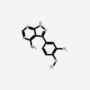 CCOc1ccc(-c2n[nH]c3ncnc(N)c23)cc1C(F)(F)F